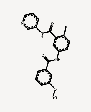 CCCOc1cccc(C(=O)Nc2ccc(F)c(C(=O)Nc3cccnc3)c2)c1